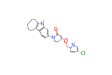 Cn1c2c(c3ccc(-n4ccc(OCc5ccc(Cl)cn5)cc4=O)cc31)CCCCC2